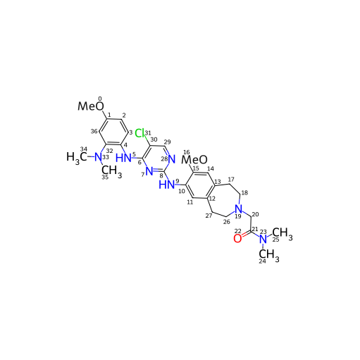 COc1ccc(Nc2nc(Nc3cc4c(cc3OC)CCN(CC(=O)N(C)C)CC4)ncc2Cl)c(N(C)C)c1